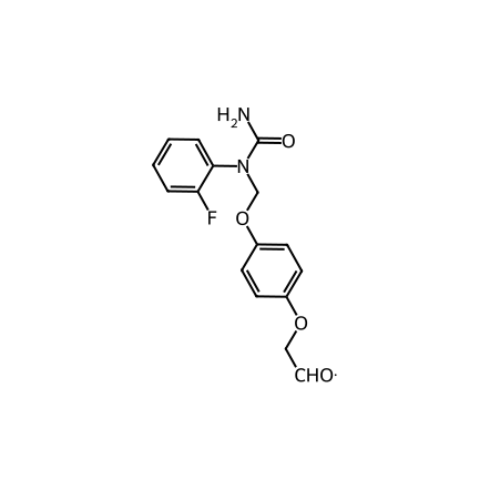 NC(=O)N(COc1ccc(OC[C]=O)cc1)c1ccccc1F